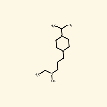 CCN(C)CCCN1CCN(C(C)C)CC1